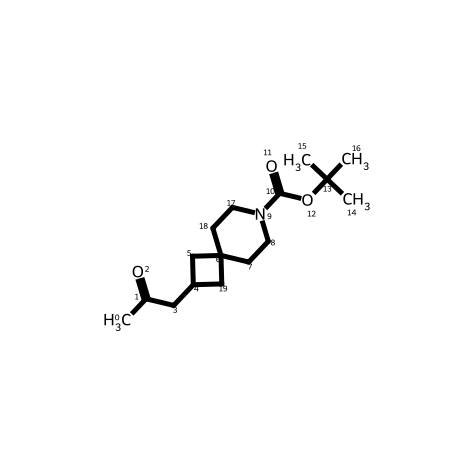 CC(=O)CC1CC2(CCN(C(=O)OC(C)(C)C)CC2)C1